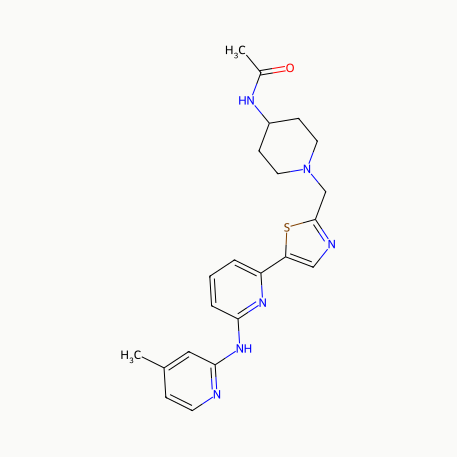 CC(=O)NC1CCN(Cc2ncc(-c3cccc(Nc4cc(C)ccn4)n3)s2)CC1